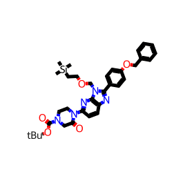 CC(C)(C)OC(=O)N1CCN(c2ccc3nc(-c4ccc(OCc5ccccc5)cc4)n(COCC[Si](C)(C)C)c3n2)C(=O)C1